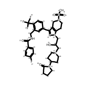 CS(=O)(=O)N1CCc2c(c(-c3ccc(C(F)(F)F)c(CNC(=O)c4ccc(F)cc4)c3)nn2CC(O)CN2CCC(N3CCCC3=O)CC2)C1